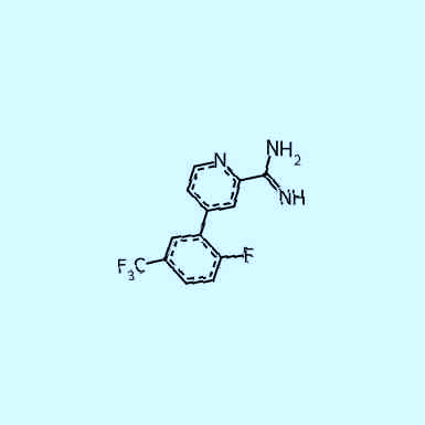 N=C(N)c1cc(-c2cc(C(F)(F)F)ccc2F)ccn1